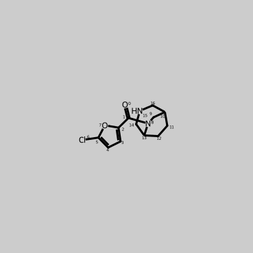 O=C(c1ccc(Cl)o1)N1CC2CCC1CNC2